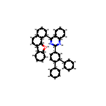 c1ccc(-c2ccc(-c3nc(-c4cccc5ccc6c7ccccc7oc6c45)c4ccccc4n3)cc2-c2ccccc2)cc1